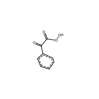 O=C(OO)C(=O)c1ccccc1